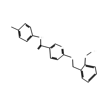 O=C(Nc1ccc(F)cc1)c1ccc(SCc2ccccc2SO)nc1